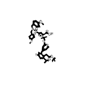 COc1ccc(CN(Cc2ccc(OC)cc2)S(=O)(=O)c2cc(C(=O)O)n(C(C)(C)COc3cc(-c4cc(F)cc(C(C)C)c4CC(=O)OC(C)(C)C)ccn3)n2)cc1